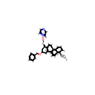 O=C=C1CC(OCc2ccccc2)Cc2c1ccc1c2ccc2c([N+](=O)[O-])cccc21.c1cnccn1